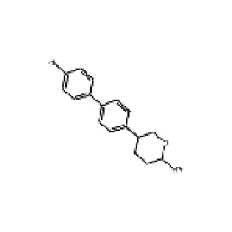 CCCC1CCC(c2ccc(-c3ccc(Cl)cc3)cc2)CO1